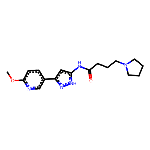 COc1ccc(-c2cc(NC(=O)CCCN3CCCC3)[nH]n2)cn1